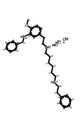 COc1ccc(CCNCCCCCCNCCc2ccccc2)cc1NCc1ccccc1.Cl.Cl.Cl